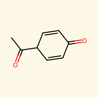 CC(=O)C1C=CC(=O)C=C1